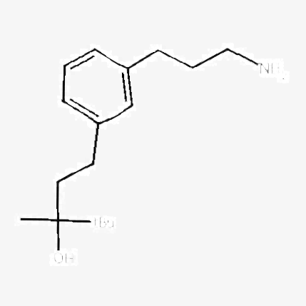 CC(C)(C)C(C)(O)CCc1cccc(CCCN)c1